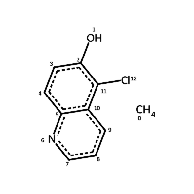 C.Oc1ccc2ncccc2c1Cl